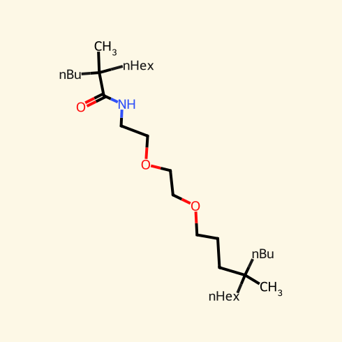 CCCCCCC(C)(CCCC)CCCOCCOCCNC(=O)C(C)(CCCC)CCCCCC